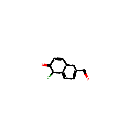 O=[C]C1=CC=C2C(C=CC(=O)C2Cl)C1